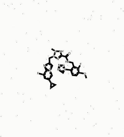 COc1ccc(-n2cnnn2)c(CNC(=O)C2=NN(Cc3cn4cc(C5CC5)cc(F)c4n3)N(C)N2)c1F